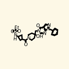 CCS(=O)(=O)NC1CC(C(=O)N2CCC(O)(Cn3cnc4c(cnn4-c4ccccc4)c3=O)CC2)C1